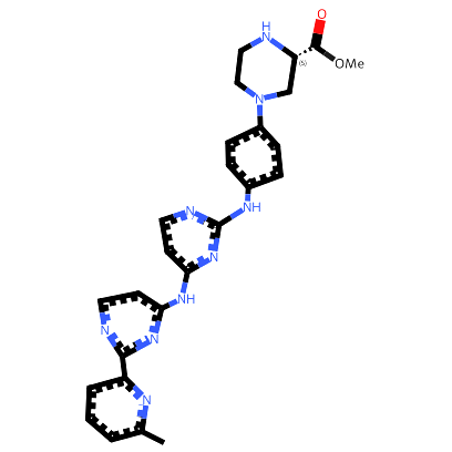 COC(=O)[C@@H]1CN(c2ccc(Nc3nccc(Nc4ccnc(-c5cccc(C)n5)n4)n3)cc2)CCN1